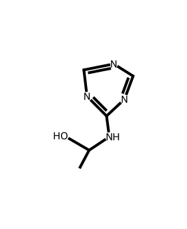 CC(O)Nc1ncncn1